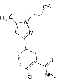 Cc1cc(-c2ccc(Cl)c(C(N)=O)c2)nn1CCO